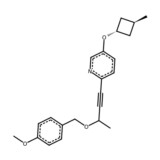 COc1ccc(COC(C)C#Cc2ccc(O[C@H]3C[C@H](C)C3)cn2)cc1